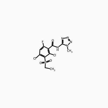 CCS(=O)(=O)c1c(Cl)cc(F)c(C(=O)Nc2nnnn2C)c1Cl